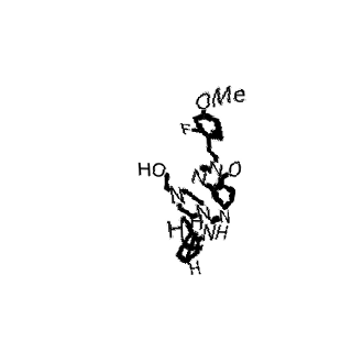 COc1ccc(CCn2cnc3cc(N=C(NC4C[C@H]5C[C@H]([C@H]4C)C5(C)C)N4CCN(CCO)CC4)ccc3c2=O)c(F)c1